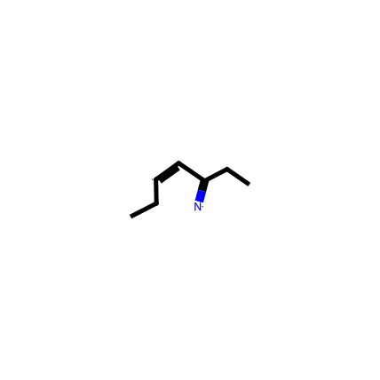 CC/[C]=C\C(=[N])CC